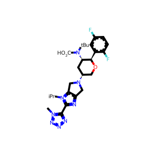 CC(C)n1c(-c2nnnn2C)nc2c1CN([C@H]1CO[C@H](c3cc(F)ccc3F)[C@@H](N(C(=O)O)C(C)(C)C)C1)C2